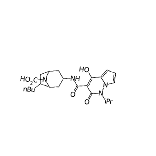 CCCCC1CC2CC(NC(=O)c3c(O)c4cccn4n(C(C)C)c3=O)CC1N2C(=O)O